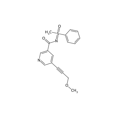 COCC#Cc1cncc(C(=O)N=S(C)(=O)c2ccccc2)c1